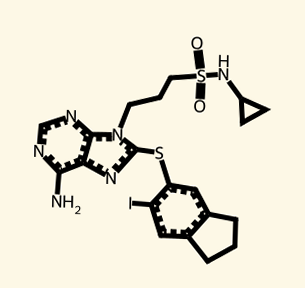 Nc1ncnc2c1nc(Sc1cc3c(cc1I)CCC3)n2CCCS(=O)(=O)NC1CC1